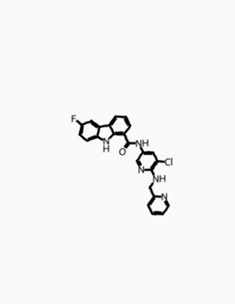 O=C(Nc1cnc(NCc2ccccn2)c(Cl)c1)c1cccc2c1[nH]c1ccc(F)cc12